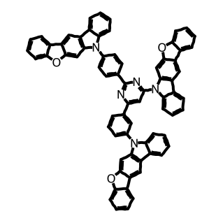 c1cc(-c2cc(-n3c4ccccc4c4cc5c(cc43)oc3ccccc35)nc(-c3ccc(-n4c5ccccc5c5cc6c(cc54)oc4ccccc46)cc3)n2)cc(-n2c3ccccc3c3cc4c(cc32)oc2ccccc24)c1